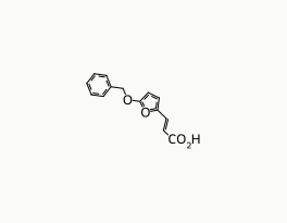 O=C(O)C=Cc1ccc(OCc2ccccc2)o1